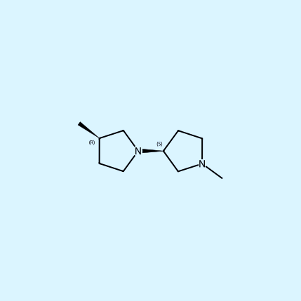 C[C@@H]1CCN([C@H]2CCN(C)C2)C1